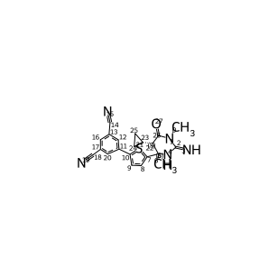 CN1C(=N)N[C@](C)(c2ccc(-c3cc(C#N)cc(C#N)c3)s2)[C@H](C2CC2)C1=O